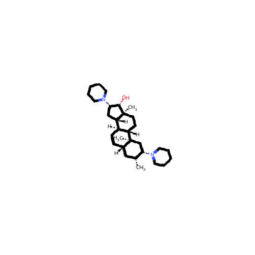 C[C@@H]1C[C@@H]2CC[C@@H]3[C@H](CC[C@]4(C)[C@@H](O)[C@@H](N5CCCCC5)C[C@@H]34)[C@@]2(C)C[C@@H]1N1CCCCC1